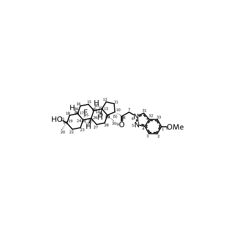 COc1ccc2nn(CC(=O)[C@H]3CC[C@H]4[C@@H]5CC[C@@H]6C[C@](C)(O)CC[C@]6(F)[C@H]5CC[C@]34C)cc2c1